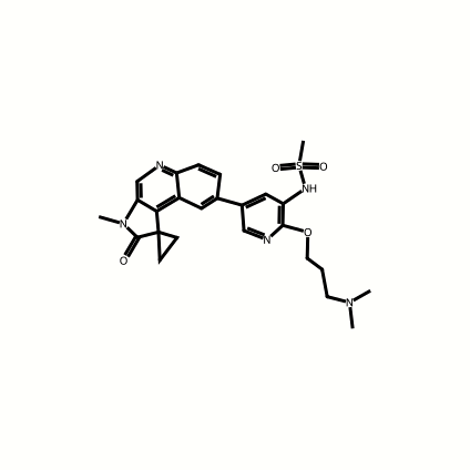 CN(C)CCCOc1ncc(-c2ccc3ncc4c(c3c2)C2(CC2)C(=O)N4C)cc1NS(C)(=O)=O